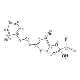 O=P(O)(Oc1ccc(CSCc2ccccc2Br)cc1Br)C(F)F